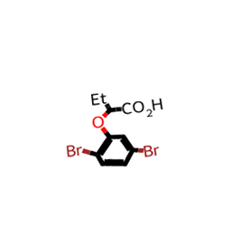 CCC(Oc1cc(Br)ccc1Br)C(=O)O